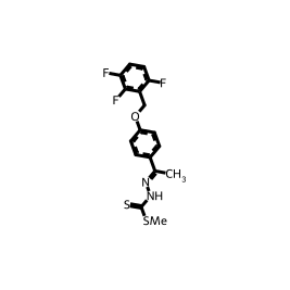 CSC(=S)N/N=C(\C)c1ccc(OCc2c(F)ccc(F)c2F)cc1